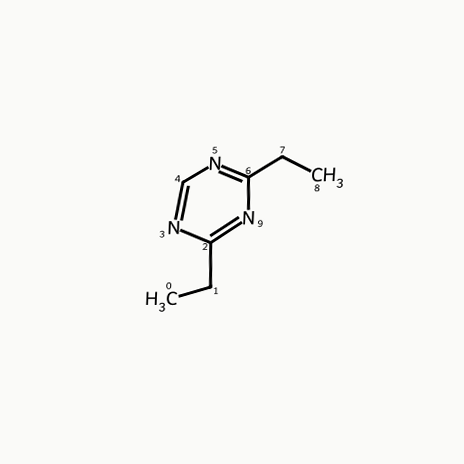 CCc1ncnc(CC)n1